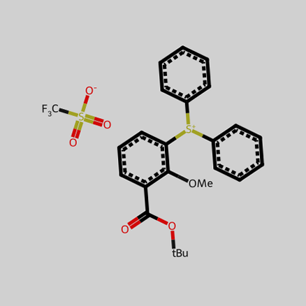 COc1c(C(=O)OC(C)(C)C)cccc1[S+](c1ccccc1)c1ccccc1.O=S(=O)([O-])C(F)(F)F